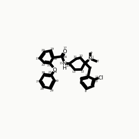 CN(C)C1(Cc2ccccc2Cl)CCC(NC(=O)c2ccccc2Oc2ccccc2)CC1